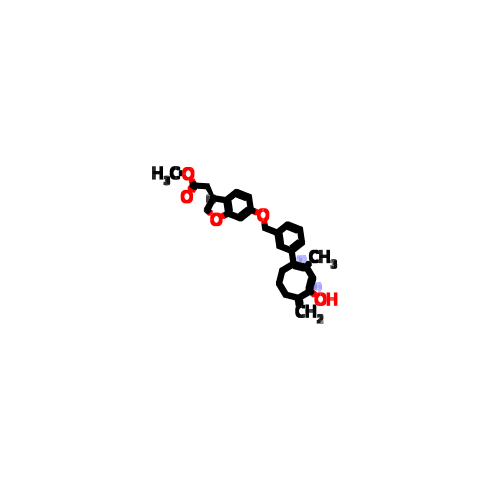 C=C1CCC/C(c2cccc(COc3ccc4c(c3)OC[C@H]4CC(=O)OC)c2)=C(C)\C=C/1O